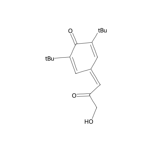 CC(C)(C)C1=CC(=CC(=O)CO)C=C(C(C)(C)C)C1=O